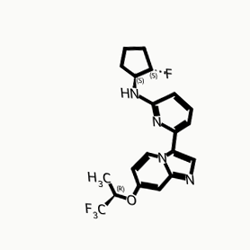 C[C@@H](Oc1ccn2c(-c3cccc(N[C@H]4CCC[C@@H]4F)n3)cnc2c1)C(F)(F)F